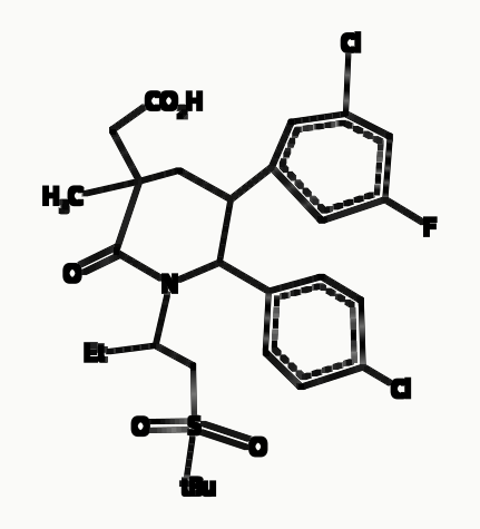 CCC(CS(=O)(=O)C(C)(C)C)N1C(=O)C(C)(CC(=O)O)CC(c2cc(F)cc(Cl)c2)C1c1ccc(Cl)cc1